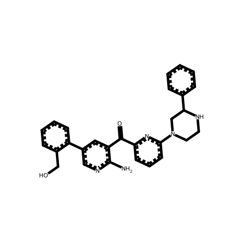 Nc1ncc(-c2ccccc2CO)cc1C(=O)c1cccc(N2CCNC(c3ccccc3)C2)n1